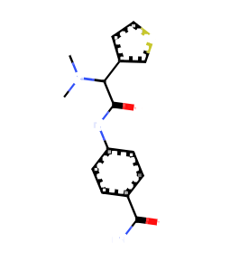 CN(C)C(C(=O)Nc1ccc(C(N)=O)cc1)c1ccsc1